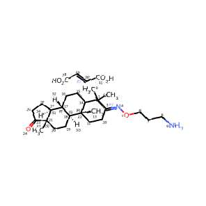 CC1(C)/C(=N/OCCCN)CC[C@@]2(C)C1CC[C@@H]1[C@@H]2CC[C@]2(C)C(=O)CC[C@@H]12.O=C(O)/C=C/C(=O)O